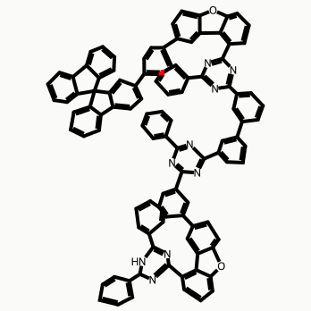 c1ccc(C2=NC(c3cccc4oc5ccc(-c6cccc(-c7nc(-c8ccccc8)nc(-c8cccc(-c9cccc(-c%10nc(-c%11ccccc%11)nc(-c%11cccc%12oc%13ccc(-c%14ccc(-c%15ccc%16c(c%15)C%15(c%17ccccc%17-c%17ccccc%17%15)c%15ccccc%15-%16)cc%14)cc%13c%11%12)n%10)c9)c8)n7)c6)cc5c34)=NC(c3ccccc3)N2)cc1